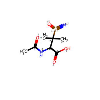 CC(=O)NC(C(=O)O)C(C)(C)S(#N)=O